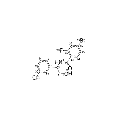 O=C(NC(CO)c1cccc(Cl)c1)c1ccc(Br)cc1F